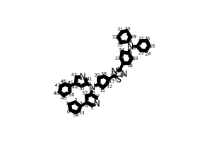 c1ccc(-c2cncc(N(c3ccc(-c4nc(-c5ccc(N(c6ccccc6)c6ccccc6)cc5)ns4)cc3)c3cncc(-c4ccccc4)c3)c2)cc1